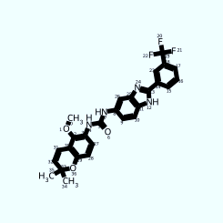 COc1c(NC(=O)Nc2ccc3[nH]c(-c4cccc(C(F)(F)F)c4)nc3c2)ccc2c1C=CC(C)(C)O2